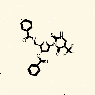 O=C(OC[C@H]1O[C@@H](N2C(=O)C(C(F)(F)F)CNC2=S)C[C@@H]1OC(=O)c1ccccc1)c1ccccc1